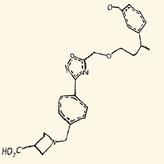 CC(CCOCc1nc(-c2ccc(CN3CC(C(=O)O)C3)cc2)no1)c1cccc(Cl)c1